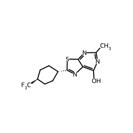 Cc1nc(O)c2nc([C@H]3CC[C@H](C(F)(F)F)CC3)sc2n1